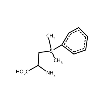 C[Si](C)(CC(N)C(=O)O)c1ccccc1